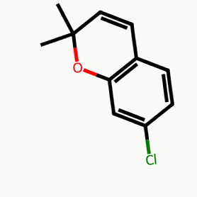 CC1(C)C=Cc2ccc(Cl)cc2O1